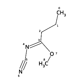 CCCC(=NC#N)OC